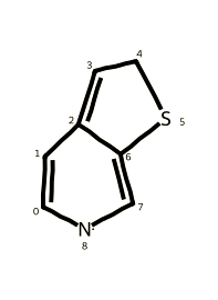 C1=CC2=CCSC2=C[N]1